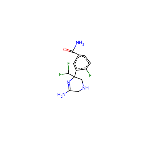 NC(=O)c1ccc(F)c(C2(C(F)F)CNCC(N)=N2)c1